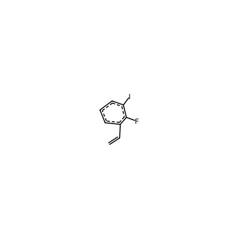 C=Cc1cccc(I)c1F